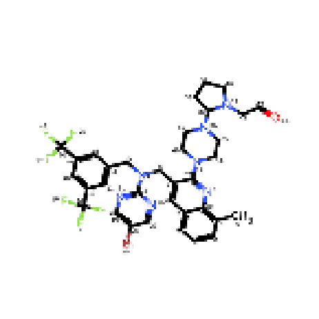 Cc1cccc2cc(CN(Cc3cc(C(F)(F)F)cc(C(F)(F)F)c3)c3ncc(Br)cn3)c(N3CCN(C4CCCN4CC=O)CC3)nc12